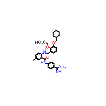 Cc1ccc(NCc2cccc(OCC3CCCCC3)c2OCC(=O)O)c(C(=O)Nc2ccc(C(=N)N)cc2)c1